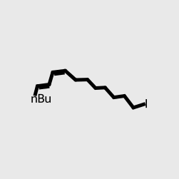 CCCC/C=C/C=C\CCCCCCCI